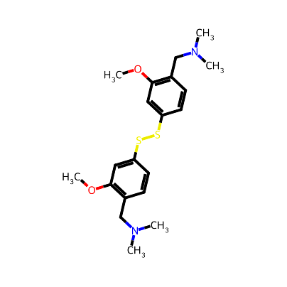 COc1cc(SSc2ccc(CN(C)C)c(OC)c2)ccc1CN(C)C